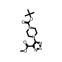 COC(=O)c1nsnc1N1CCN(C(=O)OC(C)(C)C)CC1